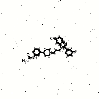 CC(=O)Nc1cccc(C2CCN(CCCn3c(-c4cccc(F)c4)nc4ccc(Cl)cc43)CC2)c1